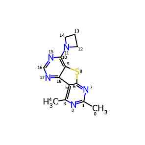 Cc1nc(C)c2c(n1)sc1c(N3CCC3)ncnc12